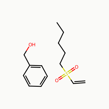 C=CS(=O)(=O)CCCCC.OCc1ccccc1